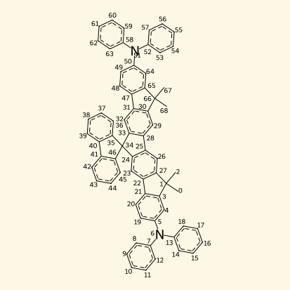 CC1(C)c2cc(N(c3ccccc3)c3ccccc3)ccc2-c2cc3c(cc21)-c1cc2c(cc1C31c3ccccc3-c3ccccc31)-c1ccc(N(c3ccccc3)c3ccccc3)cc1C2(C)C